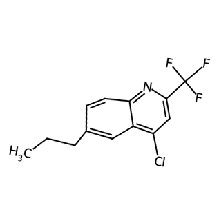 CCCc1ccc2nc(C(F)(F)F)cc(Cl)c2c1